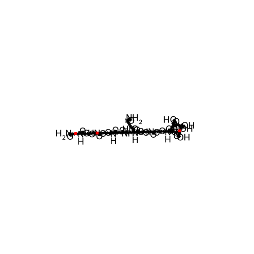 C[C@@H](CCCCNC(=O)[C@H](CCCCNC(=O)CCCC(=O)NCCOCCOCC(=O)NCCOCCOCC(=O)NCCCCCC(N)=O)NC(=O)COCCOCCNC(=O)COCCOCCNC(=O)CN1CCN(CC(=O)O)CCN(CC(O)O)CCN(CC(=O)O)CC1)C(N)=O